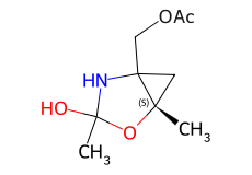 CC(=O)OCC12C[C@]1(C)OC(C)(O)N2